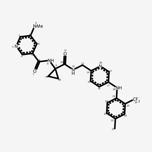 CNc1cncc(C(=O)NC2(C(=O)NCc3ccc(Nc4ccc(C)cc4C(F)(F)F)cn3)CC2)c1